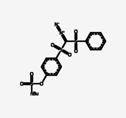 CCCCS(=O)(=O)Oc1ccc(S(=O)(=O)C(=[N+]=[N-])S(=O)(=O)c2ccccc2)cc1